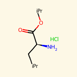 CC(C)C[C@H](N)C(=O)OC(C)C.Cl